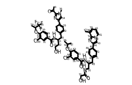 CC(=O)c1nc(-c2ccc(CC(CCO)NC(=O)c3ccc(OC(C)C(F)(F)F)c(Cl)c3)cc2)cn1C.Cc1cccn2cc(-c3ccc(CC(CNC(=O)CO)NC(=O)c4ccc(OC(C)C)c(Cl)c4)cc3)nc12